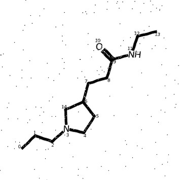 CCCN1CCC(CCC(=O)NCC)C1